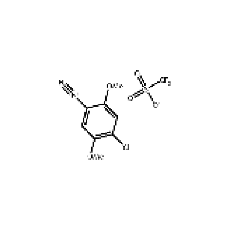 COc1cc([N+]#N)c(OC)cc1Cl.O=S(=O)([O-])C(F)(F)F